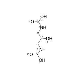 O=C(O)NCC(O)CNC(=O)O